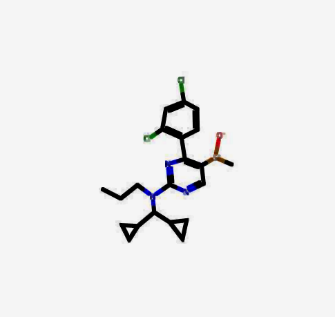 CCCN(c1ncc([S+](C)[O-])c(-c2ccc(Cl)cc2Cl)n1)C(C1CC1)C1CC1